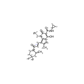 Cc1nn2c(O)c(C(=O)NC3CC3)c(=O)n(CC(C)C)c2c1/C=C/C(=O)N1CCC(F)(F)CC1C